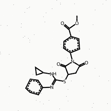 COC(=O)c1ccc(N2C(=O)CC(S/C(=N/c3ccccc3)NC3CC3)C2=O)cc1